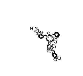 C#CCN(C(=O)NCc1ccc(Cl)c(Cl)c1)N1CCN(Cc2cccc3sc(N)nc23)C(=O)[C@H](Cc2ccccc2)NC(=O)C1